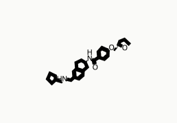 O=C(N[C@H]1CCc2cc(CNCC3CCCC3)ccc2C1)c1ccc(OC[C@@H]2CCCO2)cc1